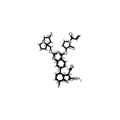 C=CC(=O)N1CCC(Oc2nc(OCC34CCCN3CC(F)C4)nc3cc(-c4ccc(F)c5sc(N)c(C#N)c45)ccc23)C1C